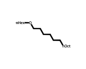 CCCCC[CH]OCCCCCCCCCCCCCC